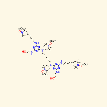 CCCCCCCCON1C(C)(C)CC(CCCCNc2nc(NCCO)nc(N(CCCCCCN(c3nc(NCCO)nc(NCCCCC4CC(C)(C)N(OCCCCCCCC)C(C)(C)C4)n3)C3CC(C)(C)N(OCCCCCCCC)C(C)(C)C3)C3CC(C)(C)N(OCCCCCCCC)C(C)(C)C3)n2)CC1(C)C